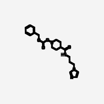 O=C(OCc1ccccc1)ON1CCC(C(=O)NCCCn2ccnc2)CC1